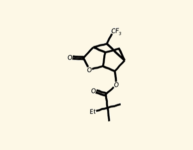 CCC(C)(C)C(=O)OC1C2CC3C1OC(=O)C3C2C(F)(F)F